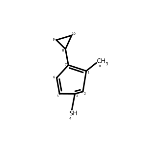 Cc1cc(S)ccc1C1CC1